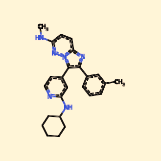 CNc1ccc2nc(-c3cccc(C)c3)c(-c3ccnc(NC4CCCCC4)c3)n2n1